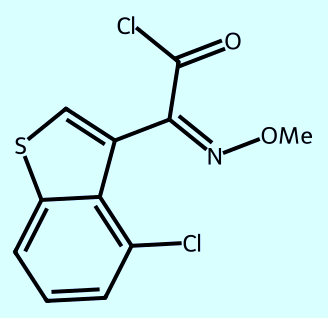 CON=C(C(=O)Cl)c1csc2cccc(Cl)c12